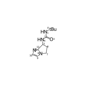 CC(C)(C)NC(=O)NC1CCn2ccnc21